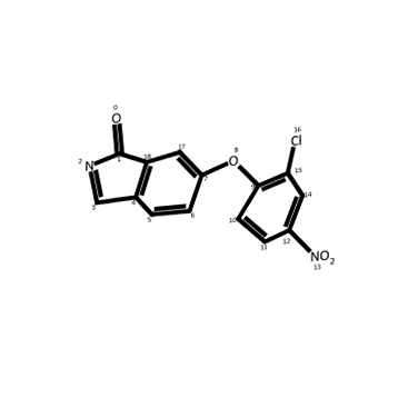 O=C1N=Cc2ccc(Oc3ccc([N+](=O)[O-])cc3Cl)cc21